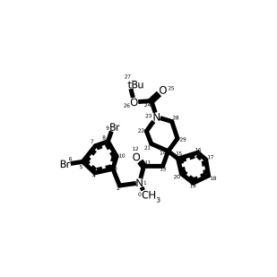 CN(Cc1cc(Br)cc(Br)c1)C(=O)CC1(c2ccccc2)CCN(C(=O)OC(C)(C)C)CC1